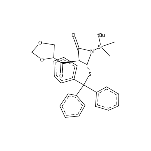 CC(C)(C)[Si](C)(C)N1C(=O)[C@H](C(=O)C2COCO2)[C@H]1SC(c1ccccc1)(c1ccccc1)c1ccccc1